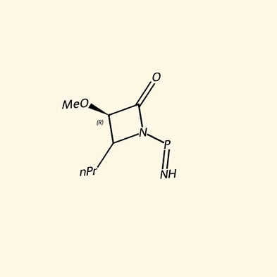 CCCC1[C@@H](OC)C(=O)N1P=N